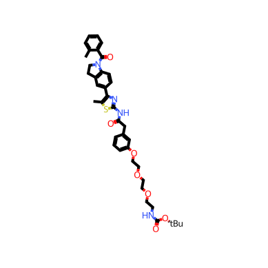 Cc1ccccc1C(=O)N1CCc2cc(-c3nc(NC(=O)Cc4cccc(OCCOCCOCCNC(=O)OC(C)(C)C)c4)sc3C)ccc21